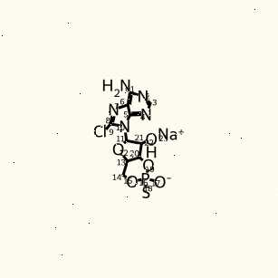 Nc1ncnc2c1nc(Cl)n2C1OC2COP([O-])(=S)OC2C1O.[Na+]